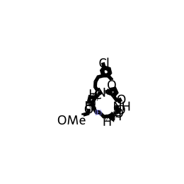 COCCO[C@H]1/C=C/C[C@@H]2C[C@H]2S(=O)(=O)NC(=O)c2ccc3c(c2)N(CCCCc2cc(Cl)ccc2CO3)C[C@@H]2CC[C@H]21